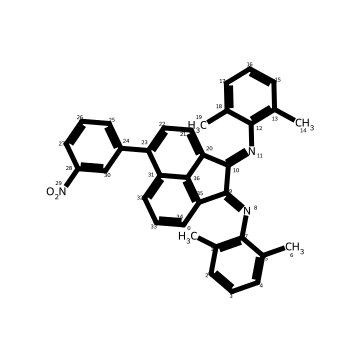 Cc1cccc(C)c1N=C1C(=Nc2c(C)cccc2C)c2ccc(-c3cccc([N+](=O)[O-])c3)c3cccc1c23